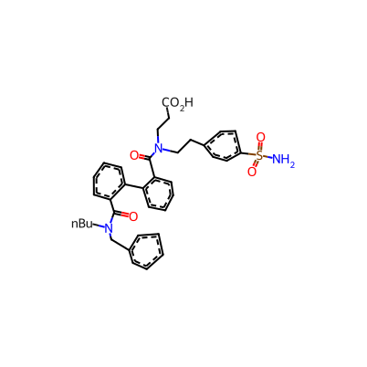 CCCCN(Cc1ccccc1)C(=O)c1ccccc1-c1ccccc1C(=O)N(CCC(=O)O)CCc1ccc(S(N)(=O)=O)cc1